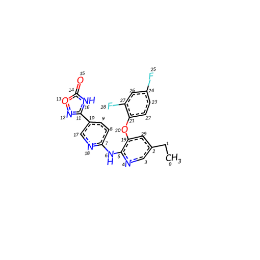 CCc1cnc(Nc2ccc(-c3noc(=O)[nH]3)cn2)c(Oc2ccc(F)cc2F)c1